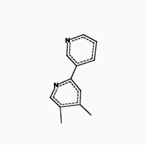 Cc1cnc(-c2cccnc2)cc1C